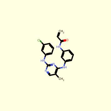 C=CC(=O)Nc1cccc(Nc2nc(Nc3cccc(Cl)c3)ncc2C)c1